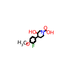 COc1ccc(C2CCN(C(=O)O)CC2O)cc1F